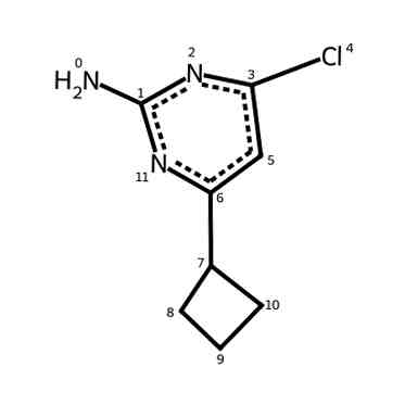 Nc1nc(Cl)cc(C2CCC2)n1